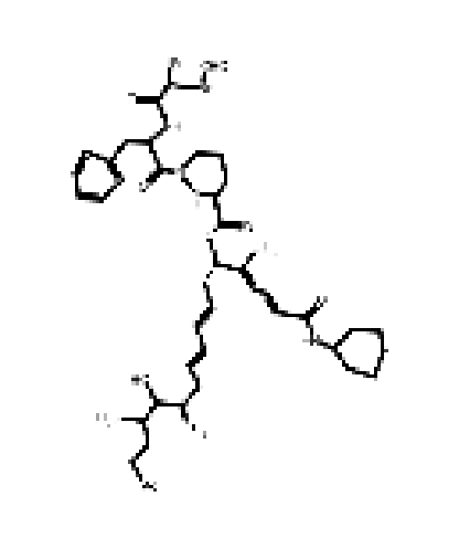 CC(=O)CCC(C)C(O)C(C)C/C=C/C=C/C[C@H](OC(=O)C1CCCN(C(=O)C(Cc2ccccc2)NC(=O)C(NC=O)C(C)C)N1)/C(C)=C/C=C/C(=O)NC1CCCCC1